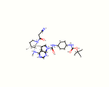 C[C@@H]1CCN(C(=O)CC#N)C[C@@H]1N(C)c1ncnc2c1ccn2C(=O)NC1CCC(NC(=O)OC(C)(C)C)CC1